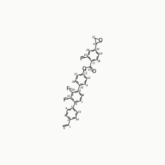 C=Cc1ccc(-c2ccc(-c3ccc(OC(=O)c4ccc(C5CO5)cc4F)cc3)c(F)c2F)cc1